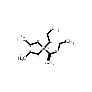 C=[C](OCC)[Sn]([CH2]CC)([CH2]CC)[CH2]CC